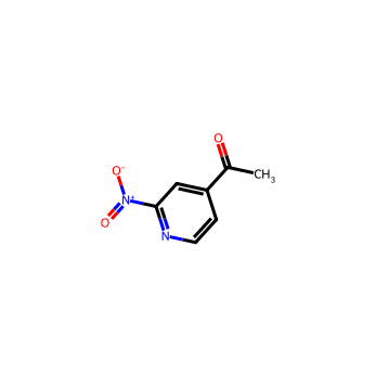 CC(=O)c1ccnc([N+](=O)[O-])c1